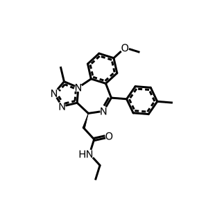 CCNC(=O)C[C@@H]1N=C(c2ccc(C)cc2)c2cc(OC)ccc2-n2c(C)nnc21